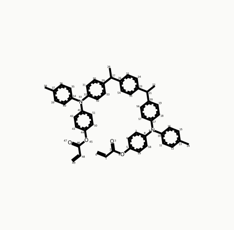 C=CC(=O)Oc1ccc(N(c2ccc(C)cc2)c2ccc(C(C)c3ccc(C(C)c4ccc(N(c5ccc(C)cc5)c5ccc(OC(=O)C=C)cc5)cc4)cc3)cc2)cc1